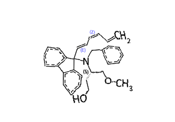 C=C/C=C\C=C\C1(N(Cc2ccccc2)[C@@H](CCO)COC)c2ccccc2-c2ccccc21